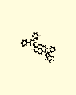 c1ccc(-n2c(-c3ccc4ccc5c(-c6cc(-c7ccccn7)cc(-c7ccccn7)c6)ccc6ccc3c4c65)nc3ccccc32)cc1